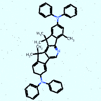 Cc1cc(N(c2ccccc2)c2ccccc2)cc2c1-c1ncc3c(c1C2(C)C)C(C)(C)C1=CCC(N(c2ccccc2)c2ccccc2)C=C13